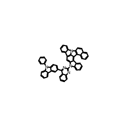 c1ccc(-n2c3ccccc3c3cc(-c4nc(-n5c6ccccc6c6c7c8c9ccccc9ccc8n8c9ccccc9c(cc65)c78)nc5ccccc45)ccc32)cc1